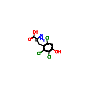 N[C@@H](Cc1c(Cl)cc(O)c(Cl)c1Cl)C(=O)O